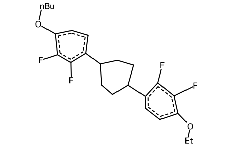 CCCCOc1ccc(C2CCC(c3ccc(OCC)c(F)c3F)CC2)c(F)c1F